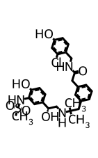 CC(C)(Cc1cccc(CC(=O)NCc2ccc(O)cc2Cl)c1)NC[C@@H](O)c1ccc(O)c(NS(C)(=O)=O)c1